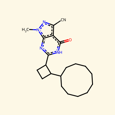 Cn1nc(C#N)c2c(=O)[nH]c(C3CCC3C3CCCCCCCCC3)nc21